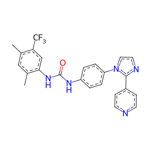 Cc1cc(C)c(C(F)(F)F)cc1NC(=O)Nc1ccc(-n2ccnc2-c2ccncc2)cc1